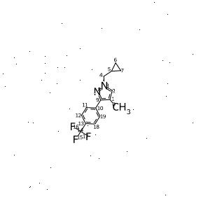 Cc1cn(CC2CC2)nc1-c1ccc(C(F)(F)F)cc1